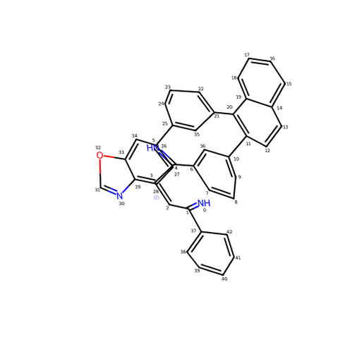 N=C(/C=C\C(=N)c1cccc(-c2ccc3ccccc3c2-c2cccc(-c3ccc4ncoc4c3)c2)c1)c1ccccc1